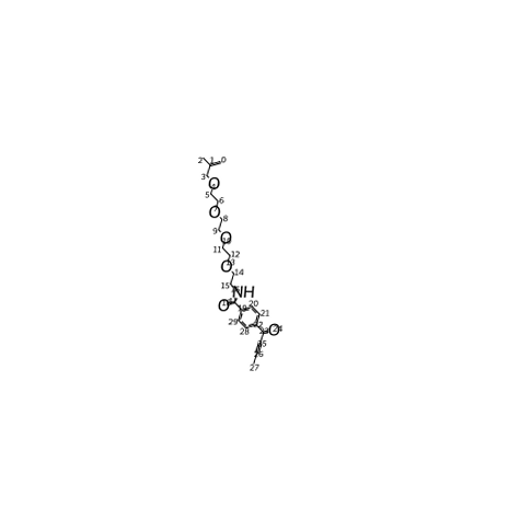 C=C(C)COCCOCCOCCOCCNC(=O)c1ccc(C(=O)C#CC)cc1